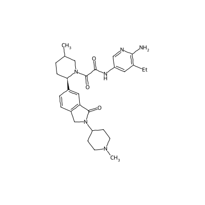 CCc1cc(NC(=O)C(=O)N2CC(C)CC[C@@H]2c2ccc3c(c2)C(=O)N(C2CCN(C)CC2)C3)cnc1N